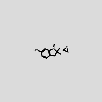 C1CO1.CN1c2cc(O)ccc2CC1(C)C